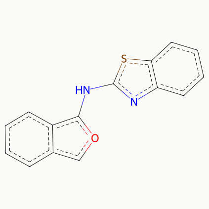 c1ccc2c(Nc3nc4ccccc4s3)occ2c1